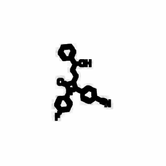 N#Cc1ccc(C2C(CCC(O)c3ccccc3)C(=O)N2c2ccc(F)cc2)cc1